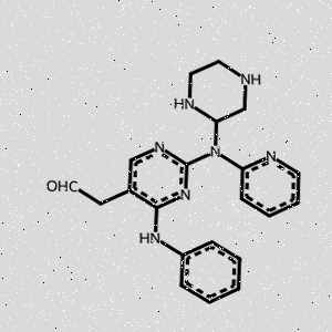 O=CCc1cnc(N(c2ccccn2)C2CNCCN2)nc1Nc1ccccc1